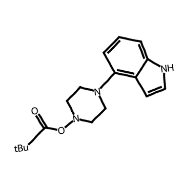 CC(C)(C)C(=O)ON1CCN(c2cccc3[nH]ccc23)CC1